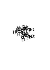 CCN(CC)CCSc1nc(C)n(-c2cccc(Cl)c2)n1.CCN(CC)CCSc1nc(C)n(-c2cccc(Cl)c2)n1.O=C(O)C(=O)O